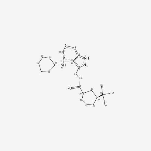 O=C(CCc1n[nH]c2ccnc(NC3CCCCC3)c12)N1CCC[C@H](C(F)(F)F)C1